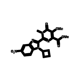 COC(=O)c1nc(-c2nc3cc([N+](=O)[O-])ccc3n2C2CCC2)n(C)c(=O)c1OC